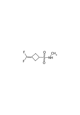 CNS(=O)(=O)C1CC(=C(F)F)C1